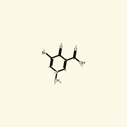 Cn1cc(Br)c(=O)c(C(=O)O)c1